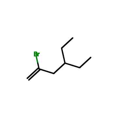 C=C(Br)CC(CC)CC